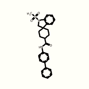 CS(=O)(=O)N1CC2(CCC(C(=O)Nc3ccc(-c4ccccc4)cc3)CC2)c2ccccc21